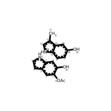 CC(=O)Oc1cc2cc[nH]c2cc1O.Cc1c[nH]c2ccc(O)cc12